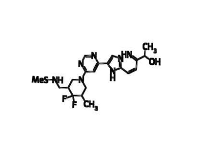 CSNCC1CN(c2cc(-c3cnc(/C=C\C(=N)C(C)O)[nH]3)ncn2)CC(C)C1(F)F